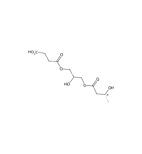 C[C@@H](O)CC(=O)OCC(O)COC(=O)CCC(=O)O